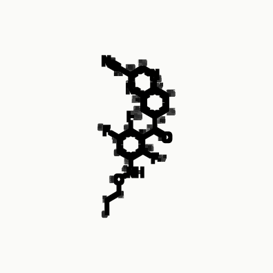 CCCONc1cc(F)c(F)c(C(=O)c2ccc3ncc(C#N)nc3c2)c1F